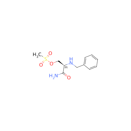 CS(=O)(=O)OC[C@@H](NCc1ccccc1)C(N)=O